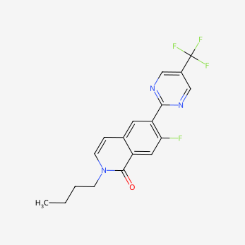 CCCCn1ccc2cc(-c3ncc(C(F)(F)F)cn3)c(F)cc2c1=O